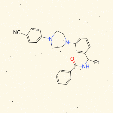 CCC(NC(=O)c1ccccc1)c1cccc(N2CCN(c3ccc(C#N)cc3)CC2)c1